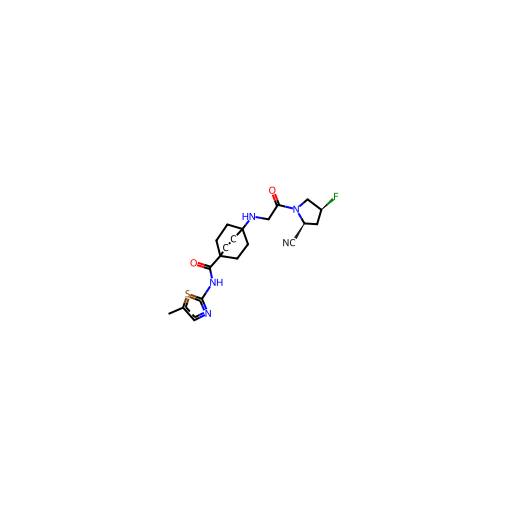 Cc1cnc(NC(=O)C23CCC(NCC(=O)N4C[C@@H](F)C[C@H]4C#N)(CC2)CC3)s1